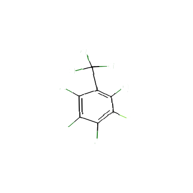 Fc1c(Cl)c(Cl)c(Cl)c(C(Cl)(Cl)Cl)c1Cl